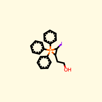 OCCC1C(I)P1(c1ccccc1)(c1ccccc1)c1ccccc1